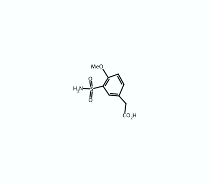 COc1ccc(CC(=O)O)cc1S(N)(=O)=O